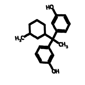 CC1CCCC(C(C)(c2cccc(O)c2)c2cccc(O)c2)C1